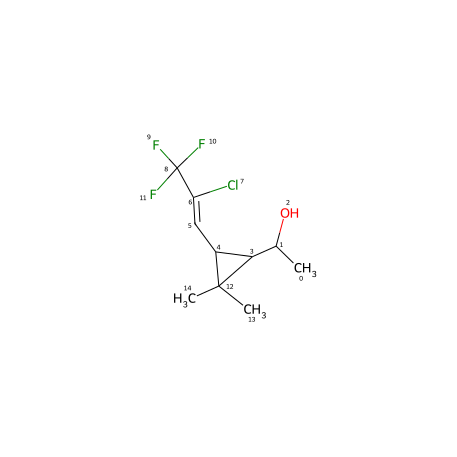 CC(O)C1C(C=C(Cl)C(F)(F)F)C1(C)C